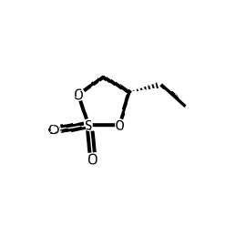 CC[C@H]1COS(=O)(=O)O1